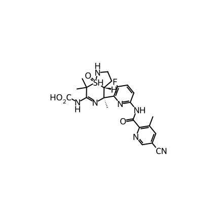 Cc1cc(C#N)cnc1C(=O)Nc1ccc(F)c([C@@]2(C)N=C(NC(=O)O)C(C)(C)[SH]3(=O)NCC[C@H]23)n1